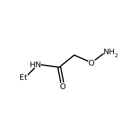 CCNC(=O)CON